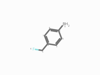 Bc1ccc(CF)cc1